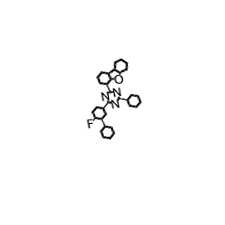 Fc1ccc(-c2nc(-c3ccccc3)nc(-c3cccc4c3oc3ccccc34)n2)cc1-c1ccccc1